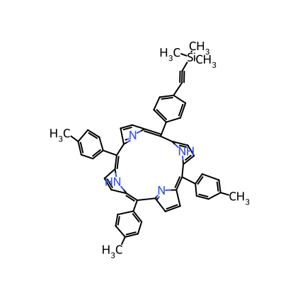 Cc1ccc(-c2c3nc(c(-c4ccc(C)cc4)c4ccc([nH]4)c(-c4ccc(C#C[Si](C)(C)C)cc4)c4nc(c(-c5ccc(C)cc5)c5ccc2[nH]5)C=C4)C=C3)cc1